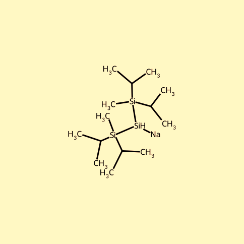 CC(C)[Si](C)(C(C)C)[SiH]([Na])[Si](C)(C(C)C)C(C)C